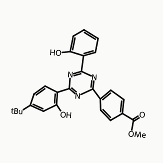 COC(=O)c1ccc(-c2nc(-c3ccccc3O)nc(-c3ccc(C(C)(C)C)cc3O)n2)cc1